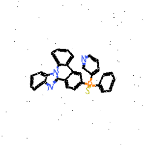 S=P(c1ccccc1)(c1cccnc1)c1ccc2c(c1)c1ccccc1n1c3ccccc3nc21